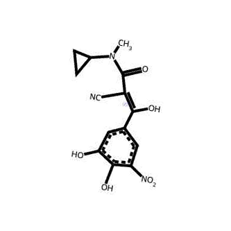 CN(C(=O)/C(C#N)=C(\O)c1cc(O)c(O)c([N+](=O)[O-])c1)C1CC1